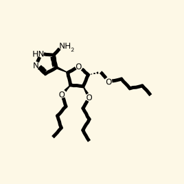 CCCCOC[C@H]1O[C@H](c2cn[nH]c2N)[C@H](OCCCC)[C@@H]1OCCCC